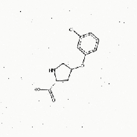 O=C(O)[C@H]1CC(Oc2cccc(Cl)c2)CN1